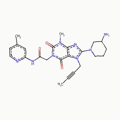 CC#CCn1c(N2CCCC(N)C2)nc2c1c(=O)n(CC(=O)Nc1cc(C)ccn1)c(=O)n2C